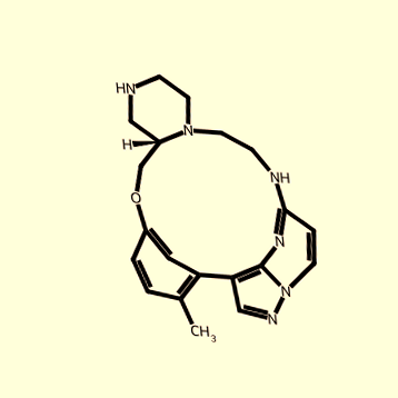 Cc1ccc2cc1-c1cnn3ccc(nc13)NCCN1CCNC[C@H]1CO2